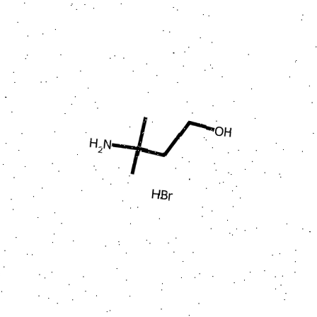 Br.CC(C)(N)CCO